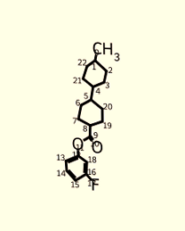 CC1CCC(C2CCC(C(=O)Oc3cccc(F)c3)CC2)CC1